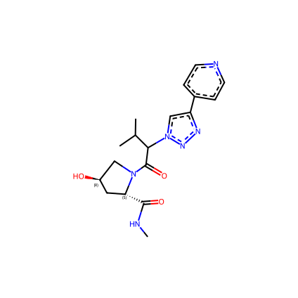 CNC(=O)[C@@H]1C[C@@H](O)CN1C(=O)C(C(C)C)n1cc(-c2ccncc2)nn1